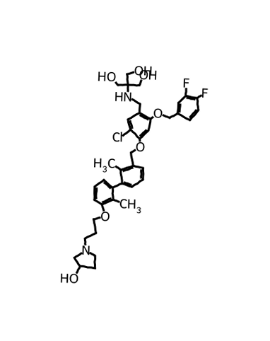 Cc1c(COc2cc(OCc3ccc(F)c(F)c3)c(CNC(CO)(CO)CO)cc2Cl)cccc1-c1cccc(OCCCN2CCC(O)C2)c1C